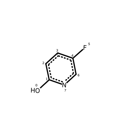 Oc1c[c]c(F)cn1